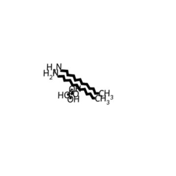 CCCCCCCCCCCCN.CCCCCCCCCCCCN.O=P(O)(O)O